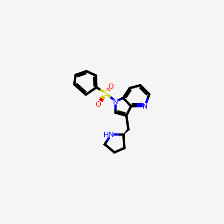 O=S(=O)(c1ccccc1)n1cc(C[C@H]2CCCN2)c2ncccc21